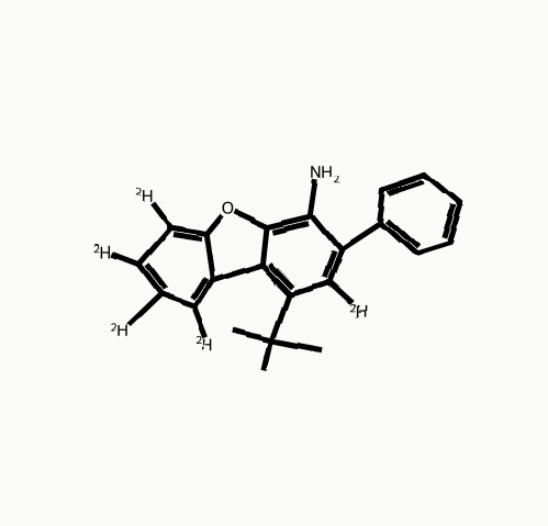 [2H]c1c([2H])c([2H])c2c(oc3c(N)c(-c4ccccc4)c([2H])c(C(C)(C)C)c32)c1[2H]